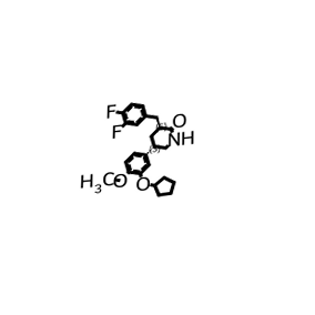 COc1ccc([C@H]2CNC(=O)[C@H](Cc3ccc(F)c(F)c3)C2)cc1OC1CCCC1